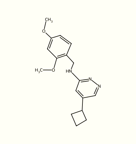 COc1ccc(CNc2cc(C3CCC3)cnn2)c(OC)c1